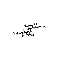 CNCCN=Cc1c(O)cc(O)c2nc3c(C(=O)NCCNC)ccc(O)c3nc12